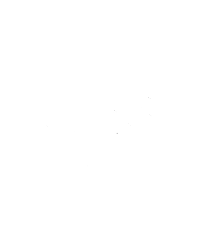 Cc1cc2c(c(OC3CC(n4cc(Cl)c5c(N)ncnc54)[C@H](O)[C@@H]3O)c1)CNCC2